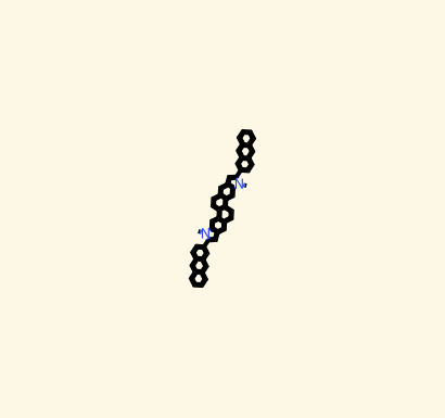 Cn1c(-c2ccc3cc4ccccc4cc3c2)cc2cc3ccc4c5cc6c(cc(-c7ccc8cc9ccccc9cc8c7)n6C)cc5ccc4c3cc21